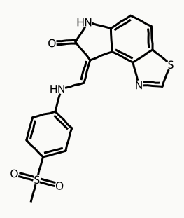 CS(=O)(=O)c1ccc(N/C=C2\C(=O)Nc3ccc4scnc4c32)cc1